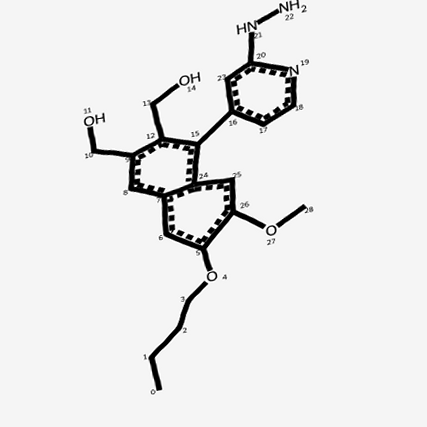 CCCCOc1cc2cc(CO)c(CO)c(-c3ccnc(NN)c3)c2cc1OC